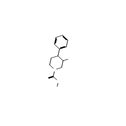 CCOC(=O)C1CN(C(=O)OC(C)(C)C)CCC1c1ccccc1